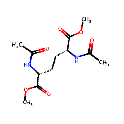 COC(=O)[C@@H](CC[C@@H](NC(C)=O)C(=O)OC)NC(C)=O